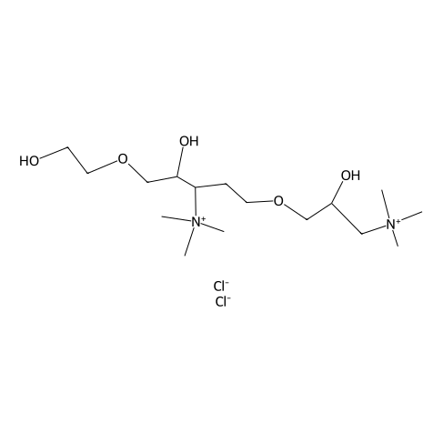 C[N+](C)(C)CC(O)COCCC(C(O)COCCO)[N+](C)(C)C.[Cl-].[Cl-]